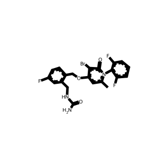 Cc1cc(OCc2ccc(F)cc2CNC(N)=O)c(Br)c(=O)n1-c1c(F)cccc1F